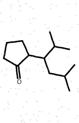 CC(C)CC(C(C)C)C1CCCC1=O